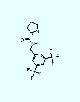 O=C(NCc1cc(C(F)(F)F)cc(C(F)(F)F)c1)[C@@H]1CCCN1